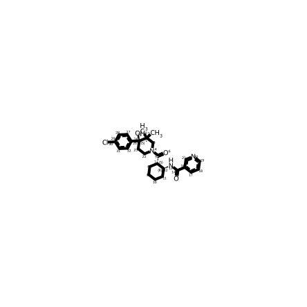 CC1(C)CN(C(=O)[C@H]2CCCC[C@H]2NC(=O)c2cccnc2)CC[C@]1(O)c1ccc(Cl)cc1